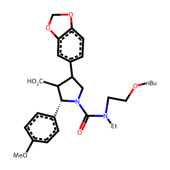 CCCCOCCN(CC)C(=O)N1CC(c2ccc3c(c2)OCO3)C(C(=O)O)[C@H]1c1ccc(OC)cc1